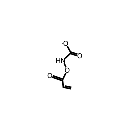 C=CC(=O)ONC([O])=O